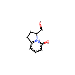 O=CC1CCc2cccc(=O)n21